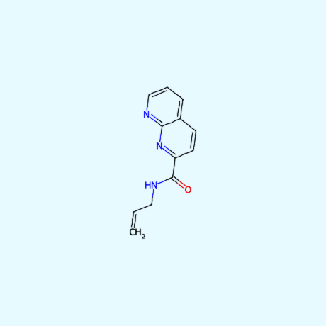 C=CCNC(=O)c1ccc2cccnc2n1